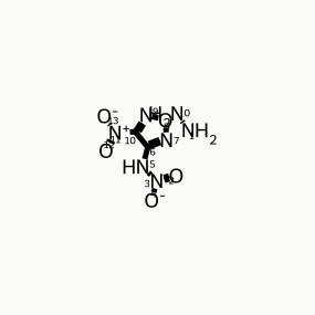 NN.O=[N+]([O-])Nc1nonc1[N+](=O)[O-]